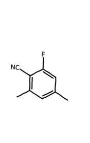 Cc1cc(C)c(C#N)c(F)c1